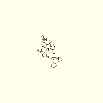 CC(C)Cn1c(=O)c(C(=O)NC2CC2)c(O)n2ncc(/C=C/C(=O)N3CCC[C@@H]3c3ccccc3)c12